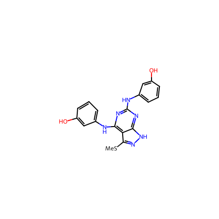 CSc1n[nH]c2nc(Nc3cccc(O)c3)nc(Nc3cccc(O)c3)c12